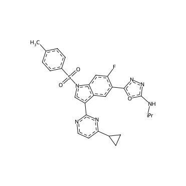 Cc1ccc(S(=O)(=O)n2cc(-c3nccc(C4CC4)n3)c3cc(-c4nnc(NC(C)C)o4)c(F)cc32)cc1